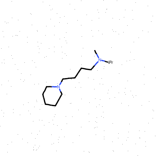 CC(C)N(C)CCCCN1CCCCC1